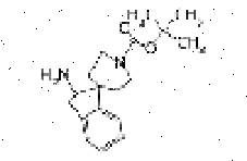 CC(C)(C)OC(=O)N1CCC2(CC1)c1ccccc1CC2N